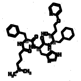 CN(C)CCCC(=O)N[C@@H](Cc1ccccc1)C(=O)N[C@@H](Cc1c[nH]cn1)C(=O)N[C@@H](CC1CCCCC1)[C@@H](O)CCOc1ccccn1